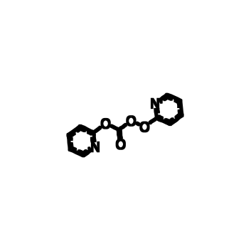 O=C(OOc1ccccn1)Oc1ccccn1